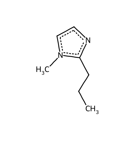 CCCc1nccn1C